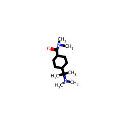 CN(C)C(=O)C1CCC(C(C)(C)N(C)C)CC1